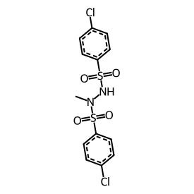 CN(NS(=O)(=O)c1ccc(Cl)cc1)S(=O)(=O)c1ccc(Cl)cc1